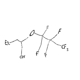 CCC(O)OC(F)(F)C(F)(F)C(F)(F)F